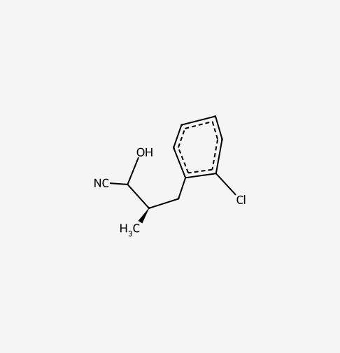 C[C@H](Cc1ccccc1Cl)C(O)C#N